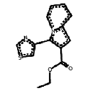 CCOC(=O)c1cc2ccccn2c1-c1cscn1